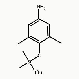 Cc1cc(N)cc(C)c1O[Si](C)(C)C(C)(C)C